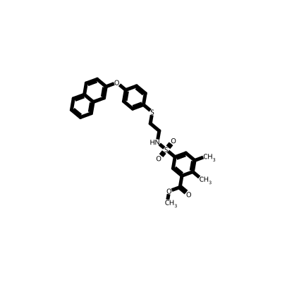 COC(=O)c1cc(S(=O)(=O)NCCSc2ccc(Oc3ccc4ccccc4c3)cc2)cc(C)c1C